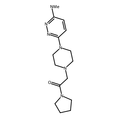 CNc1ccc(N2CCN(CC(=O)N3CCCC3)CC2)nn1